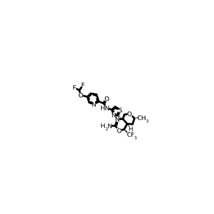 C[C@@H]1C[C@H]2[C@@H](C(F)(F)F)OC(N)=N[C@@]2(c2nc(NC(=O)c3ccc(OC(F)F)cn3)cs2)CO1